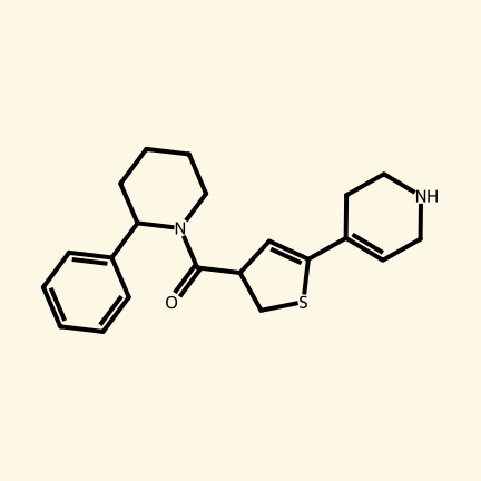 O=C(C1C=C(C2=CCNCC2)SC1)N1CCCCC1c1ccccc1